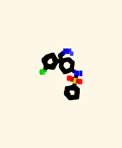 NC[C@]1(c2cccc(Cl)c2)CC[C@H](NS(=O)(=O)c2ccccc2)CC1